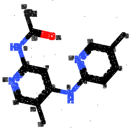 Cc1ccc(Nc2cc(NC(=O)C(C)(C)C)ncc2C)nc1